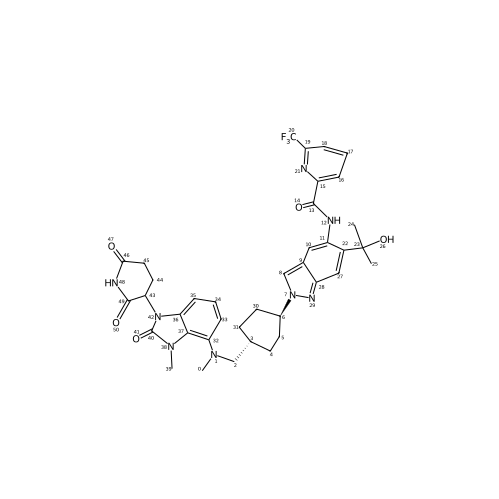 CN(C[C@H]1CC[C@H](n2cc3cc(NC(=O)c4cccc(C(F)(F)F)n4)c(C(C)(C)O)cc3n2)CC1)c1cccc2c1n(C)c(=O)n2C1CCC(=O)NC1=O